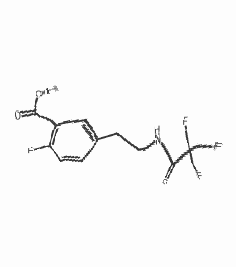 O=C(O)c1cc(CCNC(=O)C(F)(F)F)ccc1F